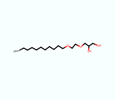 CCCCCCCCCCCCCCCCCCCCOCCOCC(O)CO